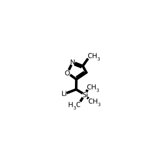 [Li][CH](c1cc(C)no1)[Si](C)(C)C